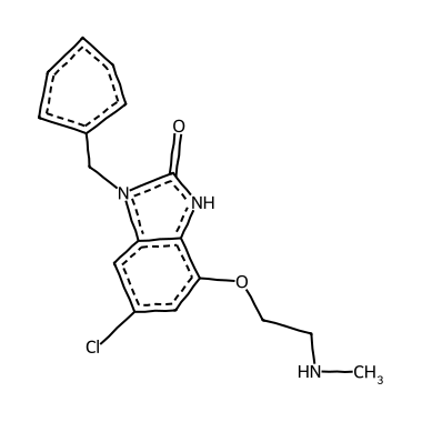 CNCCOc1cc(Cl)cc2c1[nH]c(=O)n2Cc1ccccc1